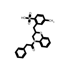 Cc1ccc(S(=O)(=O)O)c(CC2CN(C(=O)Cc3ccccc3)c3ccccc3O2)c1